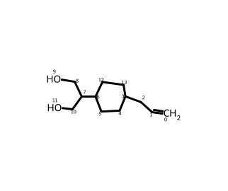 C=CCC1CCC(C(CO)CO)CC1